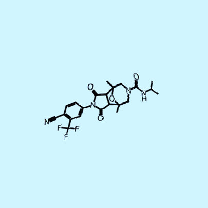 CC(C)NC(=O)N1CC2(C)OC(C)(C1)C1C(=O)N(c3ccc(C#N)c(C(F)(F)F)c3)C(=O)C12